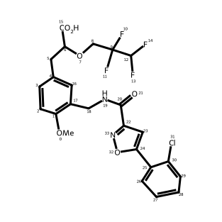 COc1ccc(CC(OCC(F)(F)C(F)F)C(=O)O)cc1CNC(=O)c1cc(-c2ccccc2Cl)on1